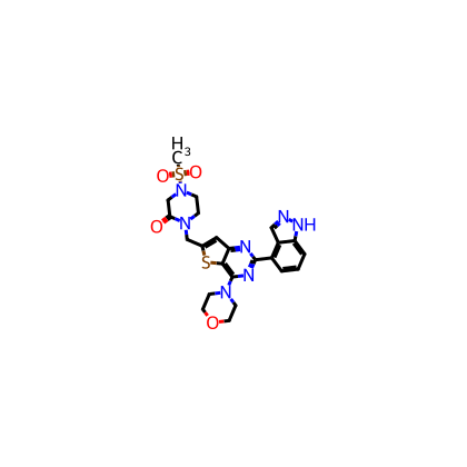 CS(=O)(=O)N1CCN(Cc2cc3nc(-c4cccc5[nH]ncc45)nc(N4CCOCC4)c3s2)C(=O)C1